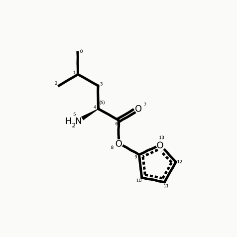 CC(C)C[C@H](N)C(=O)Oc1ccco1